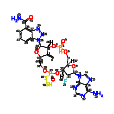 C=C1[C@H]2O[PH](=O)OC[C@H]3O[C@@H](n4cnc5c(N)ncnc54)[C@H](F)[C@@H]3O[P@](=O)(SS)OC[C@H]1O[C@H]2n1nnc2c(C(N)=O)cccc21